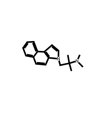 CN(C)C(C)(C)Cn1ccc2c3ccccc3ccc21